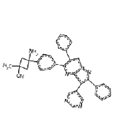 CC1(O)CC(N)(c2ccc(-c3nc4c(-c5cncnc5)c(-c5ccccc5)nn4cc3-c3ccccc3)cc2)C1